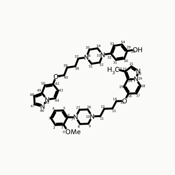 COc1ccccc1N1CCN(CCCCOc2ccn3ncc(C)c3c2)CC1.Oc1ccc(N2CCN(CCCCOc3ccn4nccc4c3)CC2)cc1